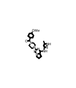 COc1ccc(C(=O)N2CCN(c3nc(Nc4cc(C)[nH]n4)c4cccn4n3)CC2)cc1